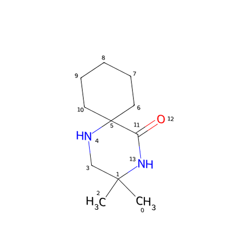 CC1(C)CNC2(CCCCC2)C(=O)N1